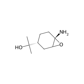 CC(C)(O)[C@@H]1CC[C@]2(N)OC2C1